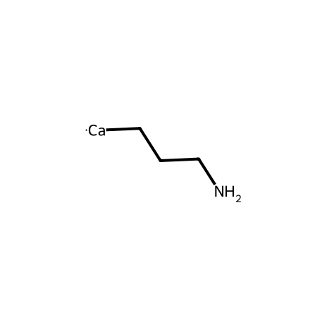 NCC[CH2][Ca]